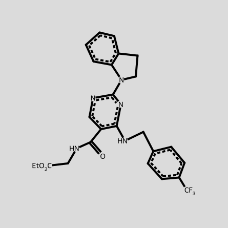 CCOC(=O)CNC(=O)c1cnc(N2CCc3ccccc32)nc1NCc1ccc(C(F)(F)F)cc1